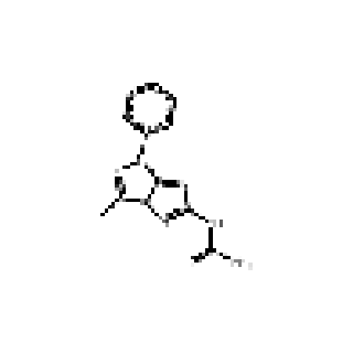 CC1=NN(c2ccccc2)C2=NC(NC(N)=S)=NC12